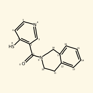 O=C(c1cnccc1S)N1CCc2ccccc2C1